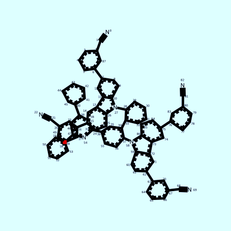 N#Cc1cccc(-c2ccc3c(c2)c2cc(-c4cccc(C#N)c4)ccc2n3-c2ccccc2-c2cc(-c3nc(-c4ccccc4)cc(-c4ccccc4)n3)ccc2-n2c3ccc(-c4cccc(C#N)c4)cc3c3cc(-c4cccc(C#N)c4)ccc32)c1